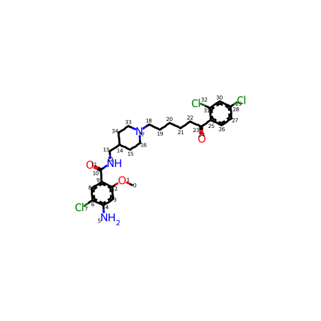 COc1cc(N)c(Cl)cc1C(=O)NCC1CCN(CCCCCC(=O)c2ccc(Cl)cc2Cl)CC1